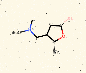 B[C@H]1CC(CN(C)OCC(C)C)[C@@H](CCC)O1